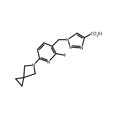 CCOC(=O)c1cn(Cc2ccc(N3CC4(CC4)C3)nc2F)nn1